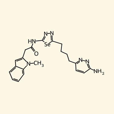 Cn1c(CC(=O)Nc2nnc(CCCCc3ccc(N)nn3)[se]2)cc2ccccc21